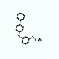 CCCCNc1cccc(Nc2ccc(-c3ccccc3)cc2)c1